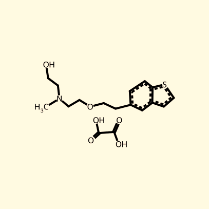 CN(CCO)CCOCCc1ccc2sccc2c1.O=C(O)C(=O)O